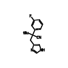 CC(C)(C)C(C#N)(Cc1c[nH]cn1)c1cccc(F)c1